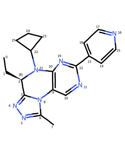 CC[C@@H]1c2nnc(C)n2-c2cnc(-c3ccncc3)nc2N1C1CCC1